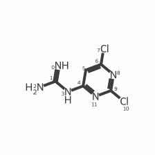 N=C(N)Nc1cc(Cl)nc(Cl)n1